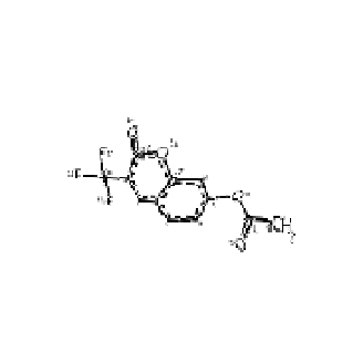 CC(=O)Oc1ccc2cc(C(F)(F)F)c(=O)oc2c1